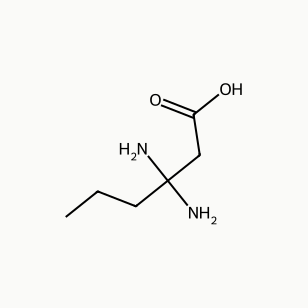 CCCC(N)(N)CC(=O)O